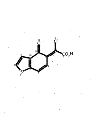 O=C(O)C(Cl)=C1C=Cc2sccc2C1=O